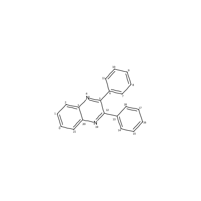 [c]1ccc2nc(-c3ccccc3)c(-c3ccccc3)nc2c1